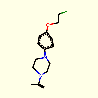 C=C(C)N1CCN(c2ccc(OCCF)cc2)CC1